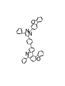 c1ccc(-c2cc(-c3ccc(-c4ccc5c(c4)nc(-c4ccccc4)c4ccc6oc7ccccc7c6c45)cc3)nc(-c3ccc4c(c3)oc3ccccc34)n2)cc1